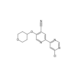 N#Cc1cc(-c2cc(Cl)ncn2)ncc1OC1CCOCC1